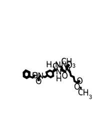 CCOC(=O)CCCCn1c(=O)c(NC(=O)C2CCC(CNC(=O)OCc3ccccc3)CC2)c(N)n(C)c1=O